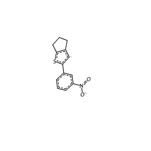 O=[N+]([O-])c1cccc(-c2[c]c3c(s2)CCC3)c1